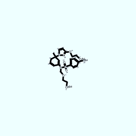 COCCOCN(C1=CC(C)(n2ccc(OCCOC(C)=O)n2)CC=C1)S(=O)(=O)c1ccc(C(C)(C)C)cc1